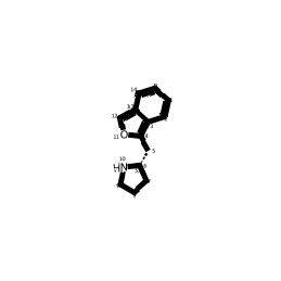 c1ccc2c(C[C@@H]3CCCN3)occ2c1